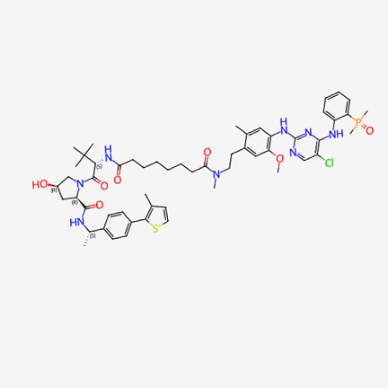 COc1cc(CCN(C)C(=O)CCCCCCC(=O)N[C@H](C(=O)N2C[C@H](O)C[C@@H]2C(=O)N[C@@H](C)c2ccc(-c3sccc3C)cc2)C(C)(C)C)c(C)cc1Nc1ncc(Cl)c(Nc2ccccc2P(C)(C)=O)n1